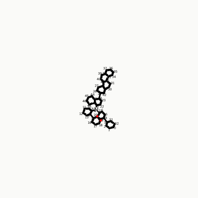 c1ccc(-c2ccc(N(c3ccccc3-c3ccccc3)c3ccc(-c4ccc5c(ccc6c7ccccc7ccc56)c4)c4ccccc34)cc2)cc1